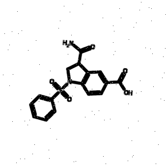 NC(=O)C1CN(S(=O)(=O)c2ccccc2)c2ccc(C(=O)O)cc21